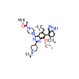 C=CC(=O)N1CCN(c2nc(C3CCN(C)CC3)nc3c(OCC(F)(F)F)c(-c4c(C)ccc5[nH]ncc45)c(C=C)cc23)CC1